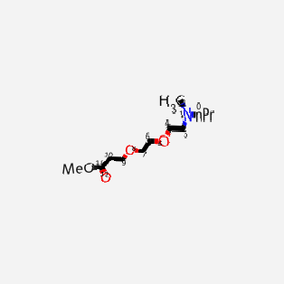 CCCN(C)CCOCCOCCC(=O)OC